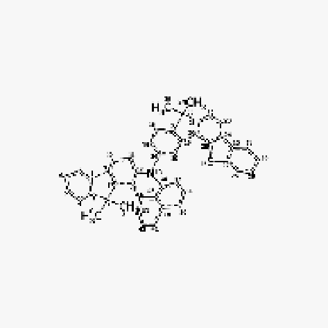 CC1(C)c2ccccc2-c2ccc(N(c3ccc4c(c3)-c3c(ccc5c3sc3ccccc35)C4(C)C)c3cccc4ccccc34)cc21